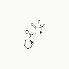 O=C(CC(=O)C(F)(F)F)c1ncccn1